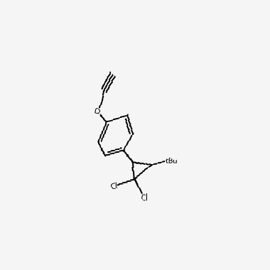 C#COc1ccc(C2C(C(C)(C)C)C2(Cl)Cl)cc1